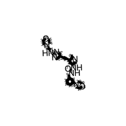 Cc1ncc(NC(=O)NCc2cccc(N3CCOCC3)c2)cc1C#Cc1cnc(NCCN2CCOCC2)nc1